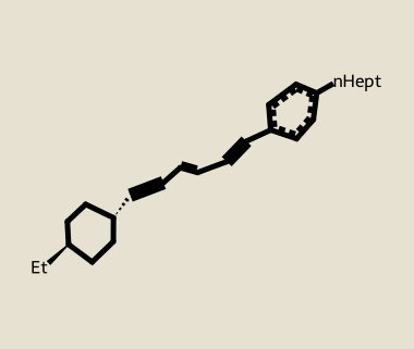 CCCCCCCc1ccc(C#C/C=C/C#C[C@H]2CC[C@H](CC)CC2)cc1